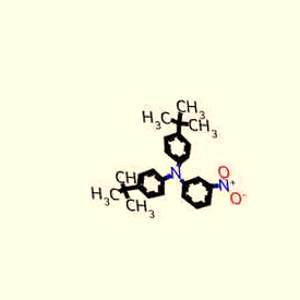 CC(C)(C)c1ccc(N(c2ccc(C(C)(C)C)cc2)c2cccc([N+](=O)[O-])c2)cc1